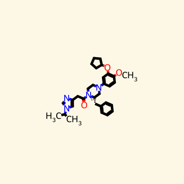 COc1ccc(N2CCN(C(=O)Cc3cn(C(C)C)cn3)[C@@H](Cc3ccccc3)C2)cc1OC1CCCC1